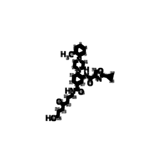 Cc1ccccc1N1CCN(c2ccc(C(=O)NCCCC(=O)CCCO)cc2NC(=O)c2coc(C3CC3)n2)CC1